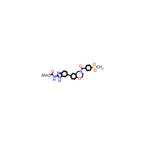 COC(=O)Nc1nc2ccc(-c3ccc4c(c3)CN(C(=O)c3ccc(S(C)(=O)=O)cc3)CCO4)cc2[nH]1